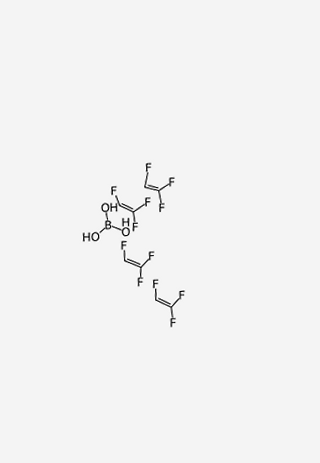 FC=C(F)F.FC=C(F)F.FC=C(F)F.FC=C(F)F.OB(O)O